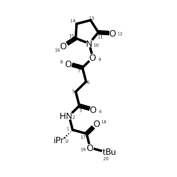 CC(C)[C@H](NC(=O)CCC(=O)ON1C(=O)CCC1=O)C(=O)OC(C)(C)C